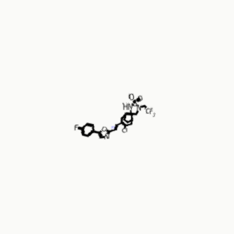 O=S1(=O)NC2(CN1CC(F)(F)F)C1CCC2CC(/C=C/c2ncc(-c3ccc(F)cc3)o2)=C(Cl)C1